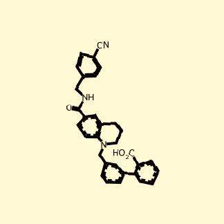 N#CC1=C=C=C(CNC(=O)c2ccc3c(c2)CCCN3Cc2cccc(-c3ccccc3C(=O)O)c2)C=C1